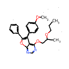 CCCOC(C)COc1ncnc2oc(-c3ccccc3)c(-c3ccc(OC)cc3)c12